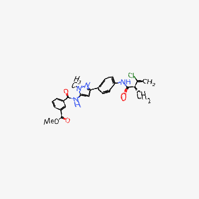 C=C(Cl)C(=C)C(=O)Nc1ccc(-c2cc(NC(=O)c3cccc(C(=O)OC)c3)n(C)n2)cc1